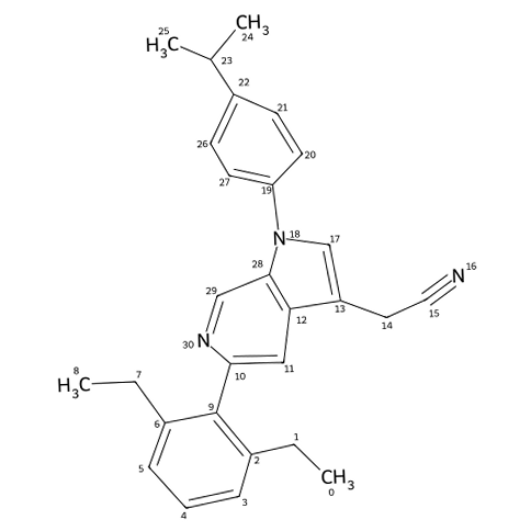 CCc1cccc(CC)c1-c1cc2c(CC#N)cn(-c3ccc(C(C)C)cc3)c2cn1